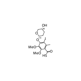 COc1c(O[C@H]2CC[C@@H](O)CO2)c(I)c(C)c(C(=O)S)c1OC